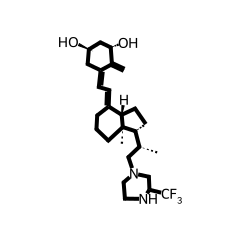 C=C1C(=CC=C2CCC[C@]3(C)[C@@H]([C@H](C)CN4CCNC(C(F)(F)F)C4)CC[C@@H]23)C[C@@H](O)C[C@@H]1O